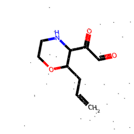 C=CCC1OCCNC1C(=O)C=O